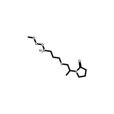 COOO[SiH2]CCCSCC(C)N1CCCC1=O